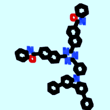 c1ccc(-c2ccc3c(c2)c2cc(-c4ccccc4)ccc2n3-c2cccc(-c3nc(-c4ccc5cc(-c6nc7ccccc7o6)ccc5c4)nc(-c4ccc5cc(-c6nc7ccccc7o6)ccc5c4)n3)c2)cc1